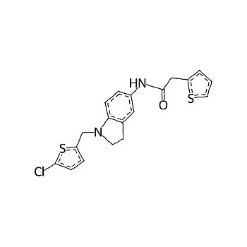 O=C(Cc1cccs1)Nc1ccc2c(c1)CCN2Cc1ccc(Cl)s1